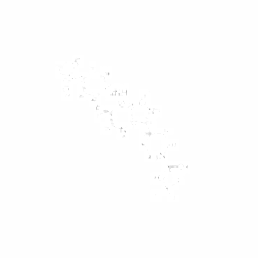 CC(C)(C)OC(=O)N1CCC(c2noc3c(Nc4ccc(S(C)(=O)=O)cc4F)ncnc23)CC1